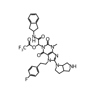 Cn1c(=O)n(C(OC(=O)C(F)(F)F)C(=O)NC2Cc3ccccc3C2)c(=O)c2c1nc(N1CCC3CNCC31)n2CCc1ccc(F)cc1